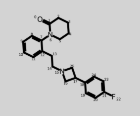 O=C1CCCCN1c1ccccc1CCN1CC(c2ccc(F)cc2)C1